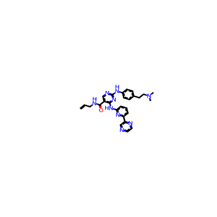 C=CCNC(=O)c1cnc(Nc2ccc(CCN(C)C)cc2)nc1Nc1cccc(-c2cnccn2)n1